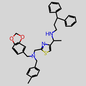 Cc1ccc(CN(Cc2ccc3c(c2)OCO3)Cc2nc(C(C)NCCC(c3ccccc3)c3ccccc3)cs2)cc1